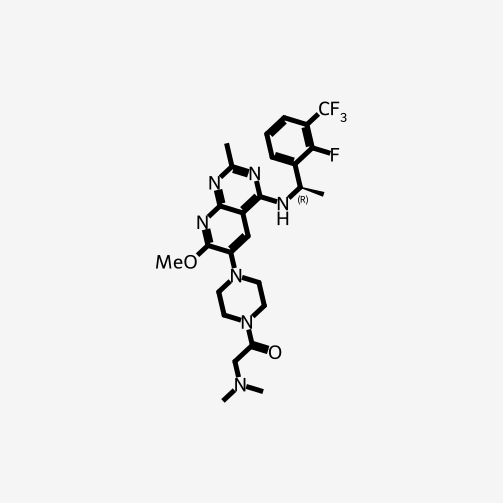 COc1nc2nc(C)nc(N[C@H](C)c3cccc(C(F)(F)F)c3F)c2cc1N1CCN(C(=O)CN(C)C)CC1